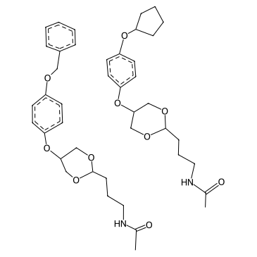 CC(=O)NCCCC1OCC(Oc2ccc(OC3CCCC3)cc2)CO1.CC(=O)NCCCC1OCC(Oc2ccc(OCc3ccccc3)cc2)CO1